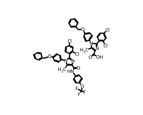 Cc1c(C(=O)Nc2ccc(OC(F)(F)F)cc2)nc(-c2ccc(Cl)cc2Cl)n1-c1ccc(OCc2ccccc2)cc1.Cc1c(C(=O)O)nc(-c2ccc(Cl)cc2Cl)n1-c1ccc(OCc2ccccc2)cc1